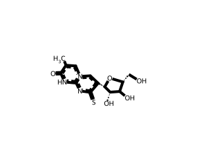 Cc1cn2cc([C@@H]3O[C@H](CO)C(O)[C@@H]3O)c(=S)nc2[nH]c1=O